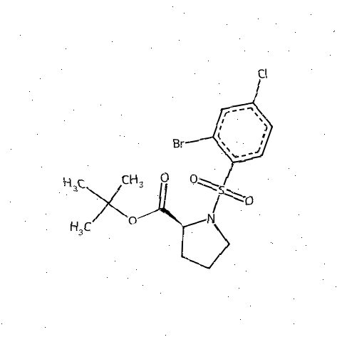 CC(C)(C)OC(=O)[C@@H]1CCCN1S(=O)(=O)c1ccc(Cl)cc1Br